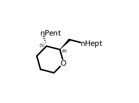 CCCCCCCC[C@H]1OCCC[C@@H]1CCCCC